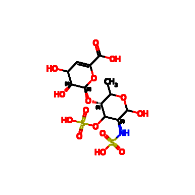 CC1OC(O)[C@@H](NS(=O)(=O)O)C(OS(=O)(=O)O)[C@@H]1O[C@@H]1OC(C(=O)O)=CC(O)[C@@H]1O